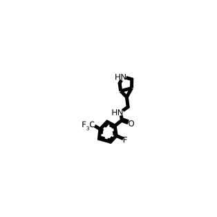 O=C(NCC1C2CNCC21)c1cc(C(F)(F)F)ccc1F